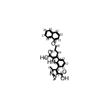 Cc1nn(C)c(C(=O)O)c1-c1cccc2c(CCCOc3cccc4ccccc34)c(C(=O)O)[nH]c12